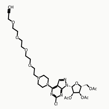 C#CCOCCOCCOCCOCCN1CCN(c2nc(Cl)nc3c2cnn3[C@@H]2O[C@H](COC(C)=O)[C@@H](OC(C)=O)[C@H]2OC(C)=O)CC1